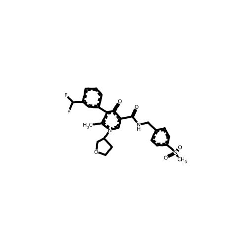 Cc1c(-c2cccc(C(F)F)c2)c(=O)c(C(=O)NCc2ccc(S(C)(=O)=O)cc2)cn1C1CCOC1